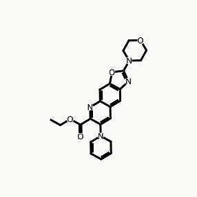 CCOC(=O)c1nc2cc3oc(N4CCOCC4)nc3cc2cc1N1C=CC=CC1